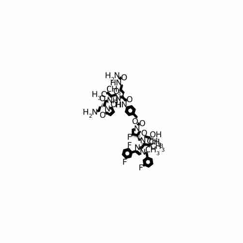 CC(C)[C@H](NC(=O)[C@@H](CCN)N1C(=O)C=CC1=O)C(=O)N[C@@H](CCCNC(N)=O)C(=O)Nc1ccc(COC(=O)N2C[C@@H](CN(C(=O)[C@H](C)O)[C@@H](c3nc(-c4cc(F)ccc4F)cn3Cc3cccc(F)c3)C(C)(C)C)[C@@H](F)C2)cc1